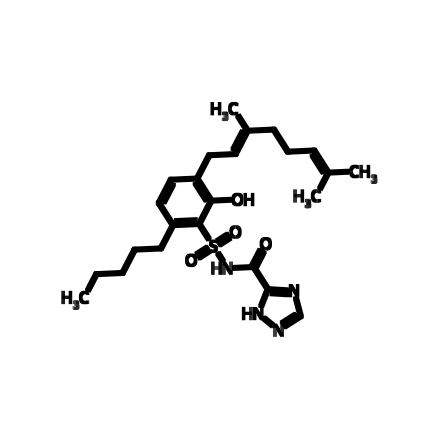 CCCCCc1ccc(C/C=C(\C)CCC=C(C)C)c(O)c1S(=O)(=O)NC(=O)c1ncn[nH]1